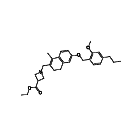 CCCc1ccc(COc2ccc3c(c2)CCC(CN2CC(C(=O)OCC)C2)=C3C)c(OC)c1